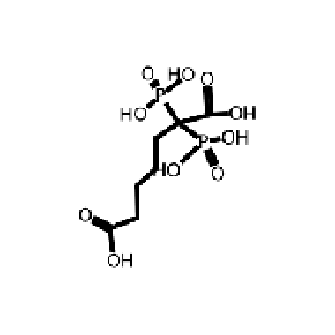 O=C(O)CCCCC(C(=O)O)(P(=O)(O)O)P(=O)(O)O